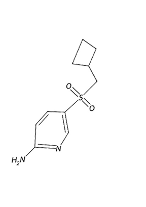 Nc1ccc(S(=O)(=O)CC2CCC2)cn1